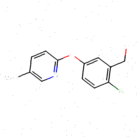 COc1ccc(Oc2ccc(Br)c(CO)c2)nc1